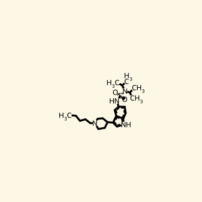 CCCCCN1CCC(c2c[nH]c3ccc(NS(=O)(=O)N(C(C)C)C(C)C)cc23)CC1